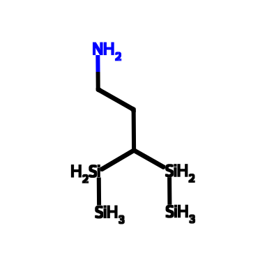 NCCC([SiH2][SiH3])[SiH2][SiH3]